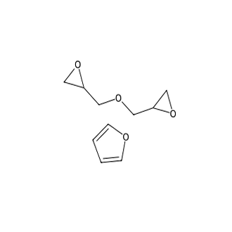 C(OCC1CO1)C1CO1.c1ccoc1